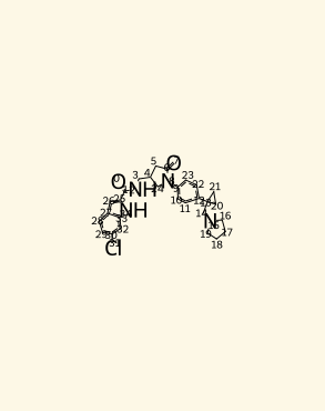 O=C(NCC1CC(=O)N(c2ccc(C3(CN4CCCC4)CC3)cc2)C1)c1cc2ccc(Cl)cc2[nH]1